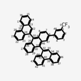 FC(F)(F)c1cccc(-c2ccc3c(-c4cc5ccccc5c5ccccc45)c4ccccc4c(-c4cc5ccccc5c5ccccc45)c3c2)c1